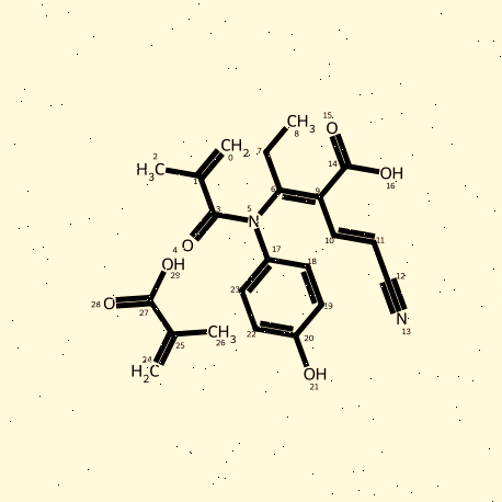 C=C(C)C(=O)N(C(CC)=C(C=CC#N)C(=O)O)c1ccc(O)cc1.C=C(C)C(=O)O